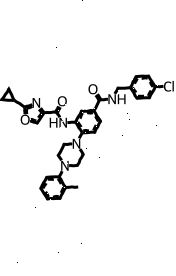 Cc1ccccc1N1CCN(c2ccc(C(=O)NCc3ccc(Cl)cc3)cc2NC(=O)c2coc(C3CC3)n2)CC1